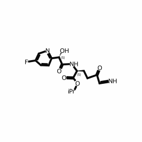 CC(C)OC(=O)[C@H](CCC(=O)C=N)NC(=O)[C@@H](O)c1ccc(F)cn1